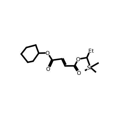 CCC(OC(=O)C=CC(=O)OC1CCCCC1)[Si](C)(C)C